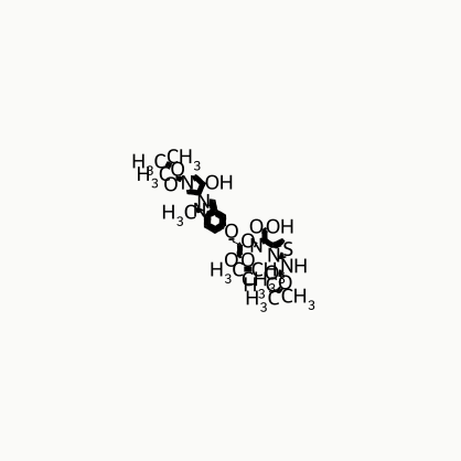 C[n+]1c2ccc(OC[C@H](O/N=C(\C(=O)O)c3csc(NC(=O)OC(C)(C)C)n3)C(=O)OC(C)(C)C)cc2cn1[C@@H]1CN(C(=O)OC(C)(C)C)C[C@@H]1O